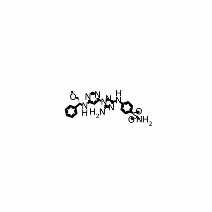 COC[C@H](Nc1cc(-n2nc(Nc3ccc(S(N)(=O)=O)cc3)nc2N)ncn1)c1ccccc1